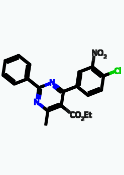 CCOC(=O)c1c(C)nc(-c2ccccc2)nc1-c1ccc(Cl)c([N+](=O)[O-])c1